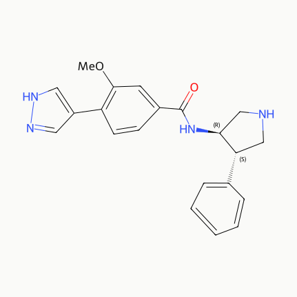 COc1cc(C(=O)N[C@H]2CNC[C@@H]2c2ccccc2)ccc1-c1cn[nH]c1